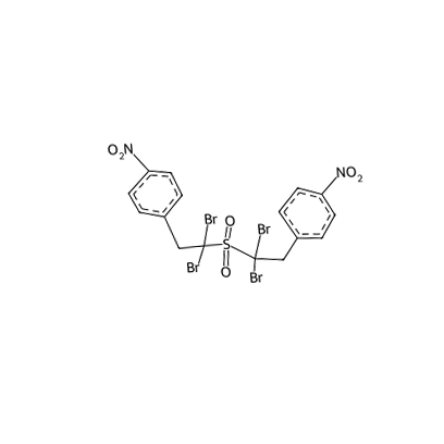 O=[N+]([O-])c1ccc(CC(Br)(Br)S(=O)(=O)C(Br)(Br)Cc2ccc([N+](=O)[O-])cc2)cc1